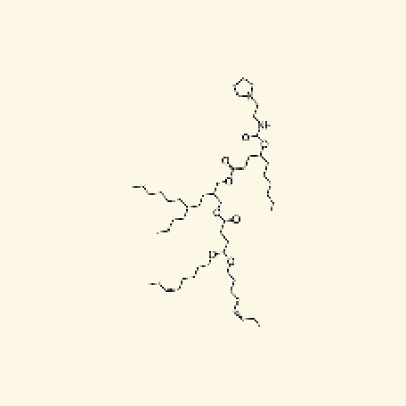 C[CH]CCCCC(CCCC)CCC(COC(=O)CCC(CCCCCC)OC(=O)NCCN1CCCC1)COC(=O)CCC(OCCCC/C=C\CC)OCCCC/C=C\CC